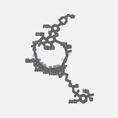 CO[C@H]1/C=C/OC(C)(C)Oc2c(C)c(O)c3c(=O)c(c4oc5cc(N6CCN(CC(C)C)CC6)cc(O)c5nc-4c3c2C=O)NC(=O)/C(C)=C\C=C\[C@H](C)[C@H](OC(=O)CCCOC(=O)CC(C)(C)c2cc(P(C)(=O)O)ccc2OC(C)=O)[C@@H](C)[C@@H](O)[C@@H](C)[C@H](OC(C)=O)[C@@H]1C